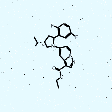 CCOC(=O)c1cnn2ccc(N3C[C@H](C(C)C)CC3c3cc(F)ccc3F)cc12